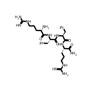 CC(C)C[C@H](NC(=O)[C@H](CC(C)C)NC(=O)[C@@H](N)CCCNC(=N)N)C(=O)N[C@@H](CCCNC(=N)N)C(N)=O